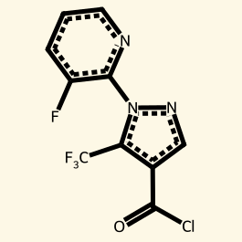 O=C(Cl)c1cnn(-c2ncccc2F)c1C(F)(F)F